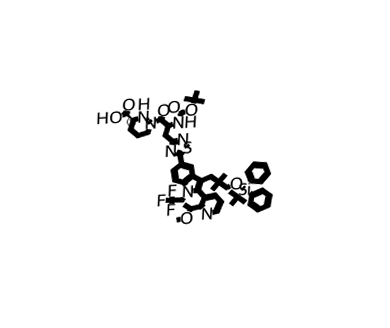 COC(C)c1ncccc1-c1c(CC(C)(C)CO[Si](c2ccccc2)(c2ccccc2)C(C)(C)C)c2cc(-c3nc(CC(NC(=O)OC(C)(C)C)C(=O)N4CCC[C@@H](C(=O)O)N4)ns3)ccc2n1CC(F)(F)F